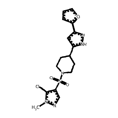 Cn1ncc(S(=O)(=O)N2CCC(c3cc(-c4ccco4)n[nH]3)CC2)c1Cl